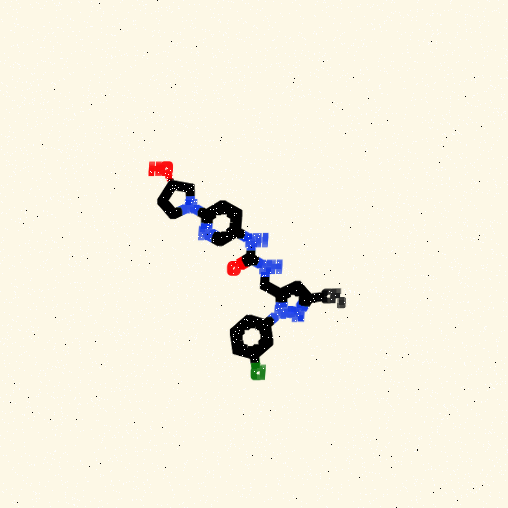 O=C(NCc1cc(C(F)(F)F)nn1-c1cccc(Cl)c1)Nc1ccc(N2CC[C@H](O)C2)nc1